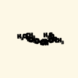 COc1ccc(-c2cn3cc(C4CCN(C5CCN(CC(C)C)CC5)CC4)ccc3n2)cc1OC